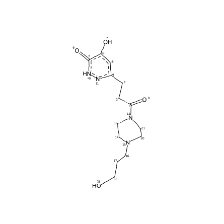 O=C(CCc1cc(O)c(=O)[nH]n1)N1CCN(CCCO)CC1